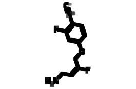 [C-]#[N+]c1ccc(OC/C(F)=C\CN)cc1F